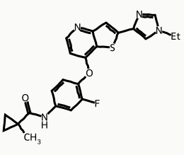 CCn1cnc(-c2cc3nccc(Oc4ccc(NC(=O)C5(C)CC5)cc4F)c3s2)c1